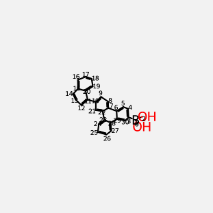 OB(O)c1ccc2c3ccc(-c4cccc5ccccc45)cc3c3ccccc3c2c1